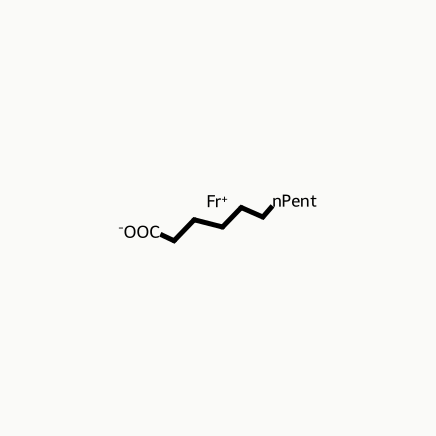 CCCCCCCCCCC(=O)[O-].[Fr+]